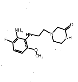 COc1ccc(F)c(N)c1NCCN1CCNC(=O)C1